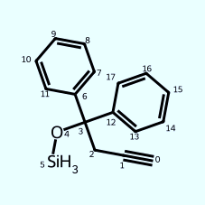 C#CCC(O[SiH3])(c1ccccc1)c1ccccc1